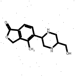 Cc1c(C2CNC(CO)CN2)ccc2c1COC2=O